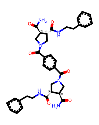 NC(=O)[C@@H]1CN(C(=O)c2ccc(C(=O)N3C[C@@H](C(N)=O)[C@H](C(=O)NCCc4ccccc4)C3)cc2)C[C@H]1C(=O)NCCc1ccccc1